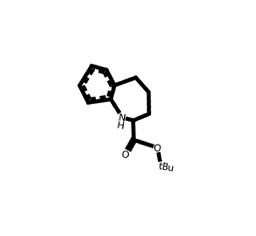 CC(C)(C)OC(=O)C1CCCc2ccccc2N1